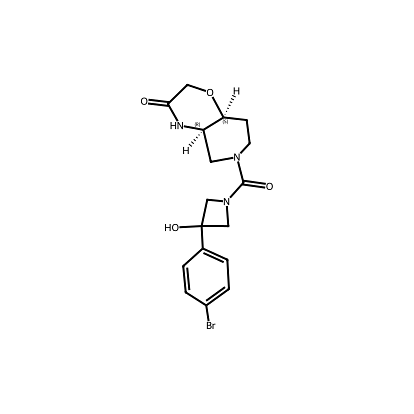 O=C1CO[C@H]2CCN(C(=O)N3CC(O)(c4ccc(Br)cc4)C3)C[C@H]2N1